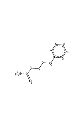 NC(=O)CCCOc1cc[c]cc1